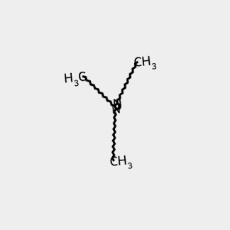 CCCCCCCCCCCCCCCCCCN1C=CN(CCCCCCCCCCCCCCCC)C1CCCCCCCCCCCCCCC